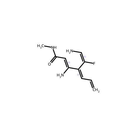 C=C/C=C(C(/N)=C/C(=O)NC)\C(F)=C/N